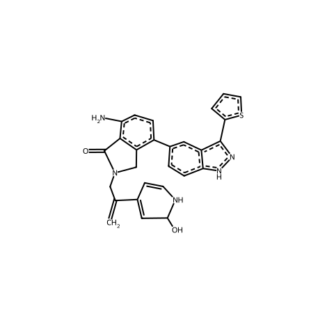 C=C(CN1Cc2c(-c3ccc4[nH]nc(-c5cccs5)c4c3)ccc(N)c2C1=O)C1=CC(O)NC=C1